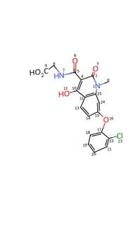 Cn1c(=O)c(C(=O)NCC(=O)O)c(O)c2ccc(Oc3ccccc3Cl)cc21